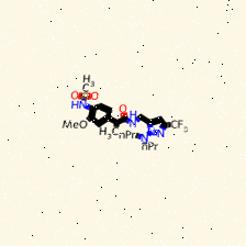 CCCN(CCC)n1nc(C(F)(F)F)cc1CNC(=O)C(C)c1ccc(NS(C)(=O)=O)c(OC)c1